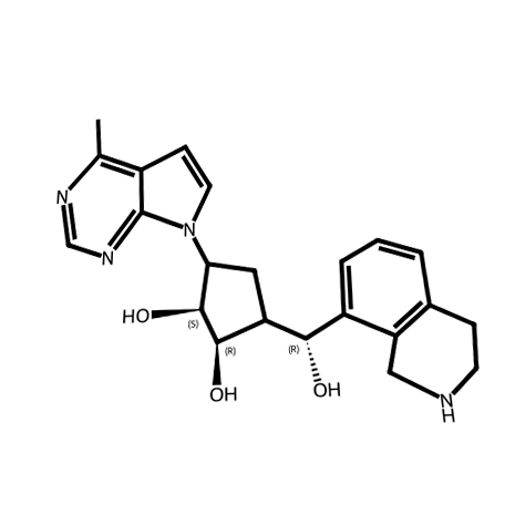 Cc1ncnc2c1ccn2C1CC([C@@H](O)c2cccc3c2CNCC3)[C@@H](O)[C@H]1O